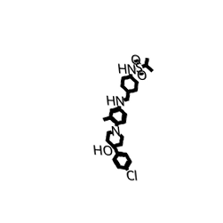 Cc1cc(NCC2CCC(NS(=O)(=O)C(C)C)CC2)ccc1N1CCC(O)(c2ccc(Cl)cc2)CC1